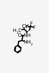 CC(C)[C@@H](CC(F)(F)F)NC(=O)C(N)Cc1ccccc1